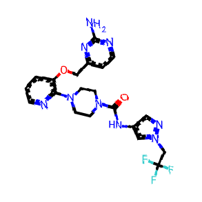 Nc1nccc(COc2cccnc2N2CCN(C(=O)Nc3cnn(CC(F)(F)F)c3)CC2)n1